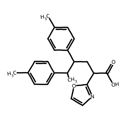 Cc1ccc(C(C)C(CC(C(=O)O)c2ncco2)c2ccc(C)cc2)cc1